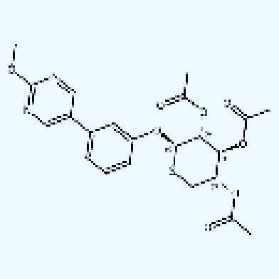 COc1ncc(-c2cccc(O[C@@H]3SC[C@@H](OC(C)=O)[C@H](OC(C)=O)[C@H]3OC(C)=O)c2)cn1